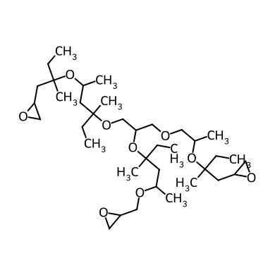 CCC(C)(CC(C)OC(C)(CC)CC1CO1)OCC(COCC(C)OC(C)(CC)CC1CO1)OC(C)(CC)CC(C)OCC1CO1